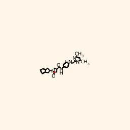 Cc1cc(C)nc(CNc2ccc(NC(=O)C3CC(=O)N(C4Cc5ccccc5C4)C3)cc2)n1